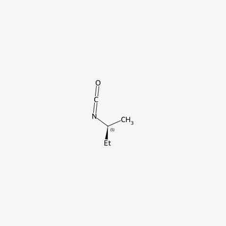 CC[C@H](C)N=C=O